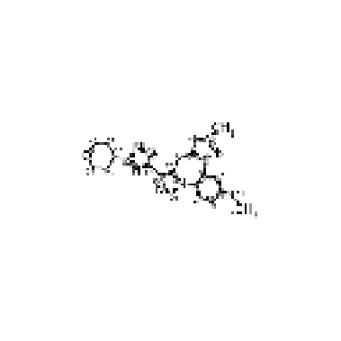 COc1ccc2c(c1)-c1nn(C)cc1Cc1c(-c3nc(C4CCOCC4)no3)ncn1-2